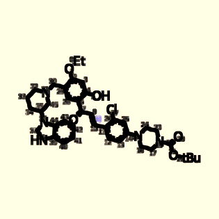 CCOc1cc(O)c(C(=O)/C=C/c2ccc(N3CCN(C(=O)OC(C)(C)C)CC3)cc2Cl)cc1CN1CCCC(N2CNc3ccccc32)C1